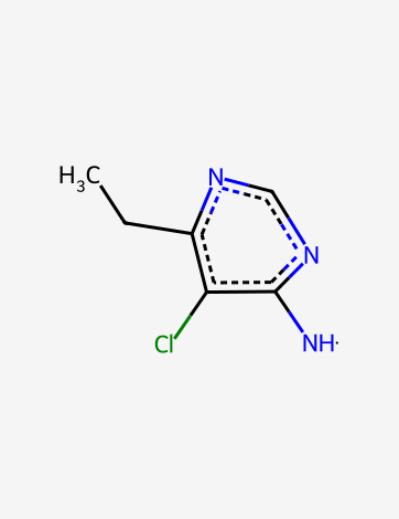 CCc1ncnc([NH])c1Cl